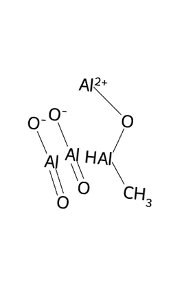 [CH3][AlH][O][Al+2].[O]=[Al][O-].[O]=[Al][O-]